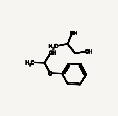 CC(O)CO.CC(O)Oc1ccccc1